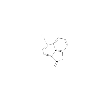 O=C1Nc2cccc3c(Br)ccc1c23